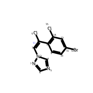 Cl/C(=C/n1cncn1)c1ccc(Br)cc1Cl